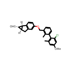 COc1cc(C)c(-c2cccc(COc3ccc4c(c3)C[C@H]3[C@H](C=O)[C@@H]43)c2C)c(Cl)c1